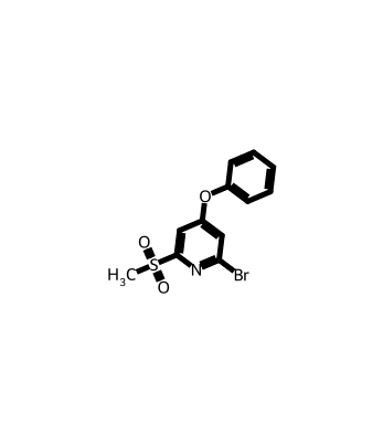 CS(=O)(=O)c1cc(Oc2ccccc2)cc(Br)n1